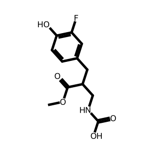 COC(=O)C(CNC(=O)O)Cc1ccc(O)c(F)c1